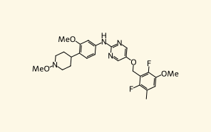 COc1cc(Nc2ncc(OCc3c(F)c(C)cc(OC)c3F)cn2)ccc1C1CCN(OC)CC1